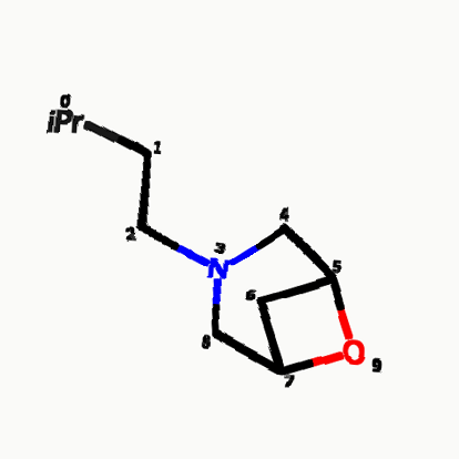 CC(C)CCN1CC2CC(C1)O2